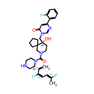 C=C(/C(F)=C\C=C(/C)F)[C@@H]1CNCCN1C(=O)N1CC[C@@](O)(Cn2cnc(-c3ccccc3F)cc2=O)C2(CCCC2)C1